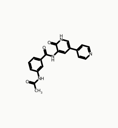 CC(=O)Nc1cccc(C(=O)Nc2cc(-c3ccncc3)c[nH]c2=O)c1